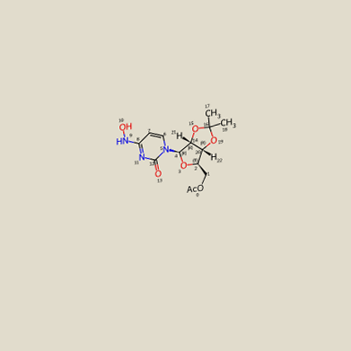 CC(=O)OC[C@H]1O[C@@H](n2ccc(NO)nc2=O)[C@@H]2OC(C)(C)O[C@@H]21